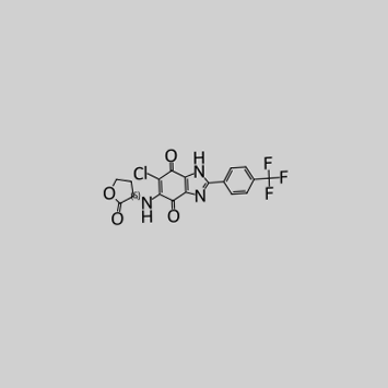 O=C1C(N[C@H]2CCOC2=O)=C(Cl)C(=O)c2[nH]c(-c3ccc(C(F)(F)F)cc3)nc21